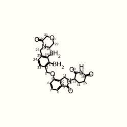 Bc1c(COc2cccc3c2CN(C2CCC(=O)NC2=O)C3=O)ccc(CN2CCOCC2=O)c1B